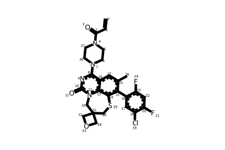 C=CC(=O)N1CCN(c2nc(=O)n3c4c(c(-c5cc(Cl)c(F)cc5F)c(C)cc24)SCC2(COC2)C3)CC1